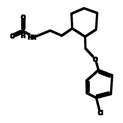 O=[SH](=O)NCCC1CCCCC1COc1ccc(Cl)cc1